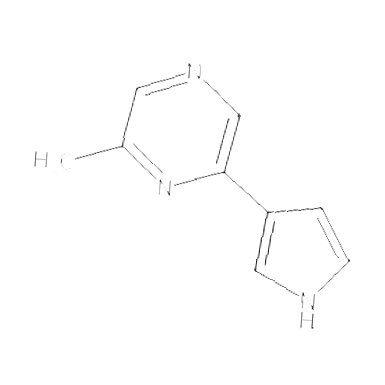 Cc1cncc(-c2cc[nH]c2)n1